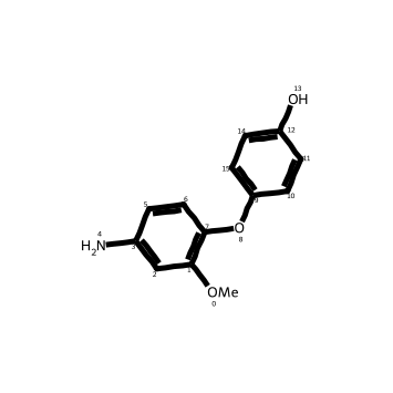 COc1cc(N)ccc1Oc1ccc(O)cc1